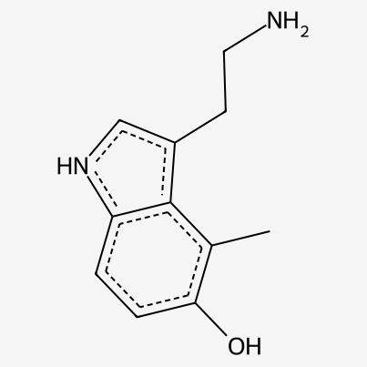 Cc1c(O)ccc2[nH]cc(CCN)c12